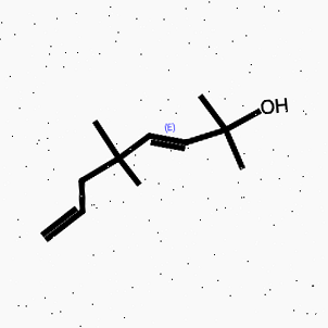 C=CCC(C)(C)/C=C/C(C)(C)O